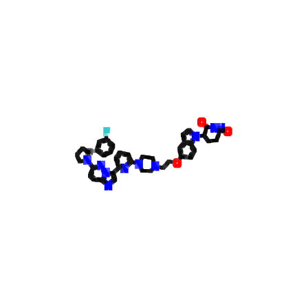 O=C1CCC(n2ccc3cc(OCCN4CCN(c5cccc(-c6cnc7ccc(N8CCC[C@@H]8c8cccc(F)c8)nn67)n5)CC4)ccc32)C(=O)N1